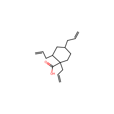 C=CCC1CCC(CC=C)(C(=O)O)C(CC=C)C1